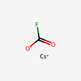 O=C([O-])F.[Cs+]